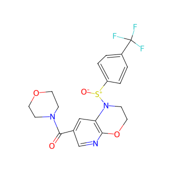 O=C(c1cnc2c(c1)N([S+]([O-])c1ccc(C(F)(F)F)cc1)CCO2)N1CCOCC1